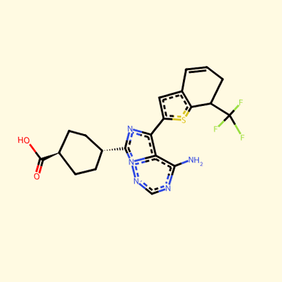 Nc1ncnn2c1c(-c1cc3c(s1)C(C(F)(F)F)CC=C3)nc2[C@H]1CC[C@H](C(=O)O)CC1